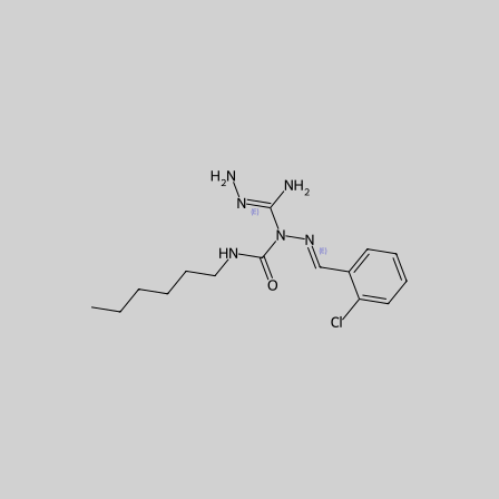 CCCCCCNC(=O)N(/N=C/c1ccccc1Cl)/C(N)=N/N